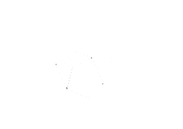 C1=CC2C=CC1C2.[CH3][Pt][CH3]